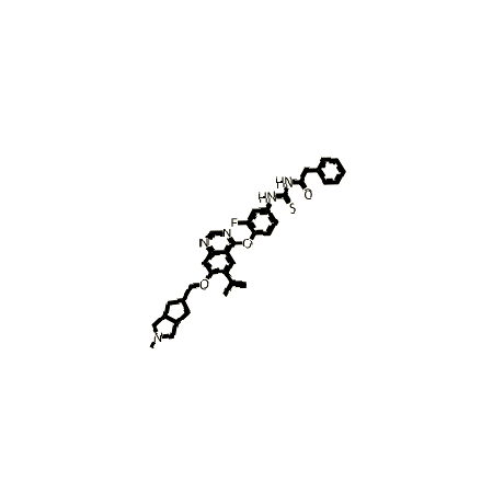 C=C(C)c1cc2c(Oc3ccc(NC(=S)NC(=O)Cc4ccccc4)cc3F)ncnc2cc1OCC1CC2CN(C)CC2C1